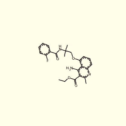 CCOC(=O)c1c(C)nc2cccc(OCC(C)(C)NC(=O)c3ccccc3F)c2c1N